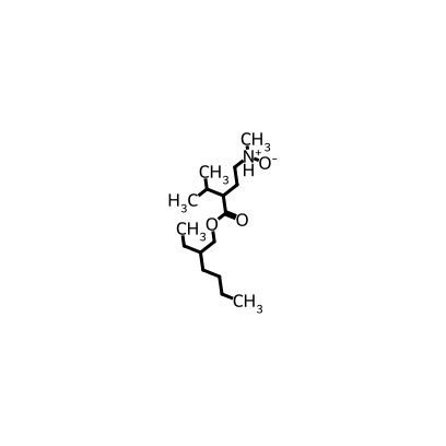 CCCCC(CC)COC(=O)C(CC[NH+](C)[O-])C(C)C